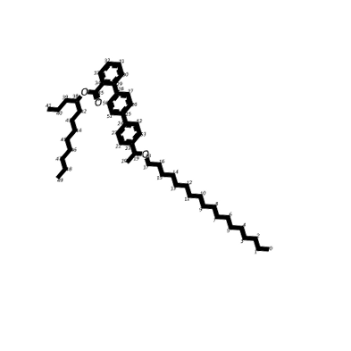 CCCCCCCCCCCCCCCCCCOC(C)c1ccc(-c2ccc(-c3ccccc3C(=O)OC(CCC)CCCCCCCC)cc2)cc1